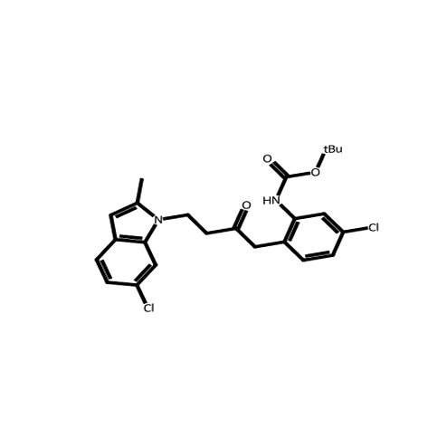 Cc1cc2ccc(Cl)cc2n1CCC(=O)Cc1ccc(Cl)cc1NC(=O)OC(C)(C)C